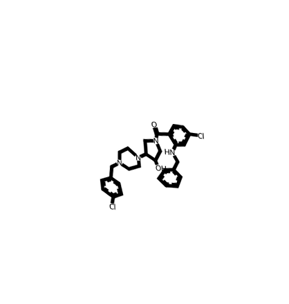 O=C(c1ccc(Cl)cc1NCc1ccccc1)N1CC(O)C(N2CCN(Cc3ccc(Cl)cc3)CC2)C1